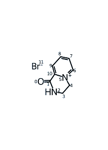 O=C1NCC[n+]2ccccc21.[Br-]